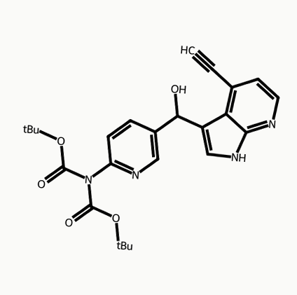 C#Cc1ccnc2[nH]cc(C(O)c3ccc(N(C(=O)OC(C)(C)C)C(=O)OC(C)(C)C)nc3)c12